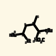 CCCCC(CC)CC(C)C(CCCC)C(=O)O